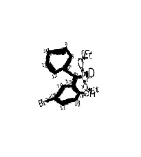 CCOP(=O)(OCC)C(c1ccccc1)c1cc(Br)ccc1O